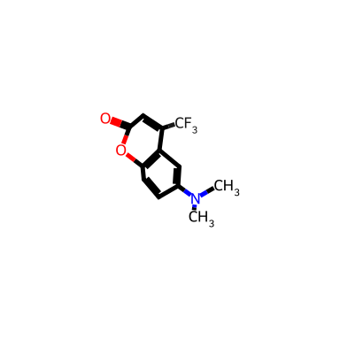 CN(C)c1ccc2oc(=O)cc(C(F)(F)F)c2c1